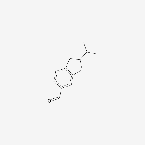 CC(C)C1Cc2ccc(C=O)cc2C1